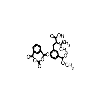 COC(=O)c1cccc(CC(C(=O)O)N(C)C)c1.O=C1OC(=O)c2cccc(c2)C(=O)O1